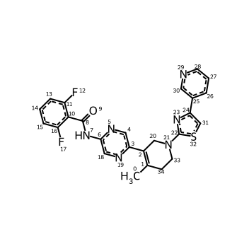 CC1=C(c2cnc(NC(=O)c3c(F)cccc3F)cn2)CN(c2nc(-c3cccnc3)cs2)CC1